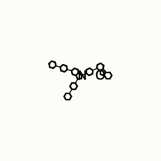 c1ccc(-c2ccc(-c3ccc4c(c3)c(-c3ccc(-c5ccccc5)cc3)cn4-c3ccc(-c4cccc5c4oc4ccccc45)cc3)cc2)cc1